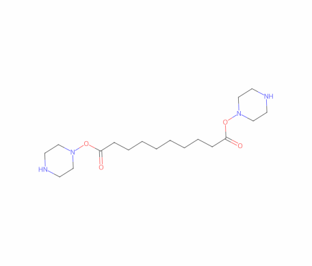 O=C(CCCCCCCCC(=O)ON1CCNCC1)ON1CCNCC1